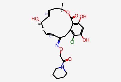 C[C@@H]1C/C=C/[C@@H](O)C/C=C/C(=NOCC(=O)N2CCCCC2)Cc2c(Cl)c(O)cc(O)c2C(=O)O1